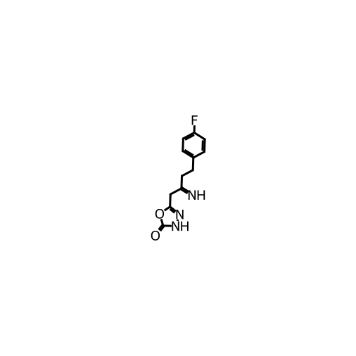 N=C(CCc1ccc(F)cc1)Cc1n[nH]c(=O)o1